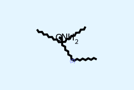 CCCCCCCC/C=C\CCCCCCC(CCCCCCCCCC)(CCCCCCCCCC)C(N)=O